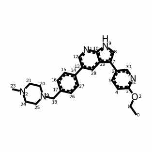 CCOc1ccc(-c2c[nH]c3ncc(-c4ccc(CN5CCN(C)CC5)cc4)cc23)cn1